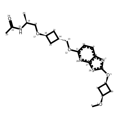 CO[C@H]1C[C@@H](Oc2nc3ccc(OC[C@H]4C[C@H](OC[C@H](C)NC(C)=O)C4)nc3s2)C1